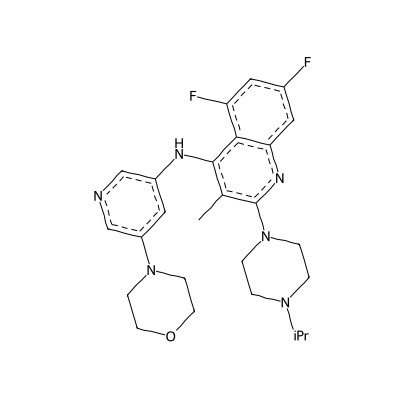 Cc1c(N2CCN(C(C)C)CC2)nc2cc(F)cc(F)c2c1Nc1cncc(N2CCOCC2)c1